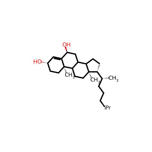 CC(C)CCC[C@@H](C)[C@H]1CCC2C3C[C@H](O)C4=C[C@@H](O)CC[C@]4(C)C3CC[C@@]21C